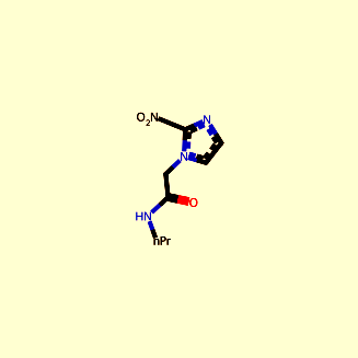 CCCNC(=O)Cn1ccnc1[N+](=O)[O-]